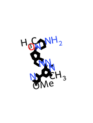 COc1cncc(-c2cc(C)c3ncnc(N4CCc5ccc(C(=O)N6CCC(N)CC6C)cc5C4)c3c2)c1